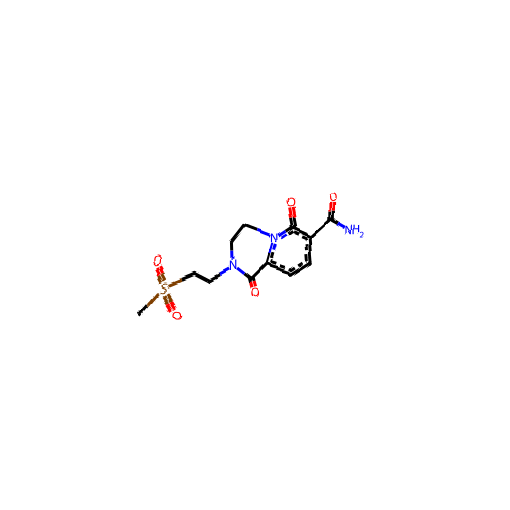 CS(=O)(=O)CCN1CCn2c(ccc(C(N)=O)c2=O)C1=O